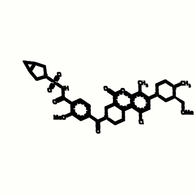 COC[C@H]1CN(c2cc(Cl)c3c4c(c(=O)oc3c2C)CN(C(=O)c2ccc(C(=O)NS(=O)(=O)N3CC5CC5C3)c(OC)c2)CC4)CCN1C